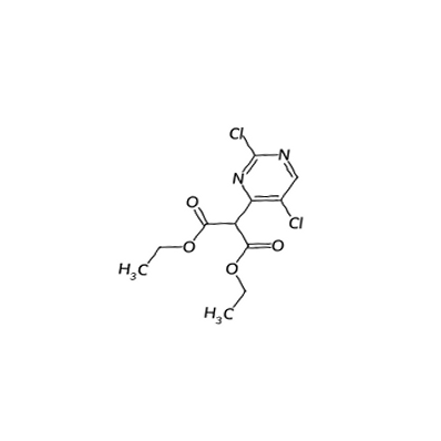 CCOC(=O)C(C(=O)OCC)c1nc(Cl)ncc1Cl